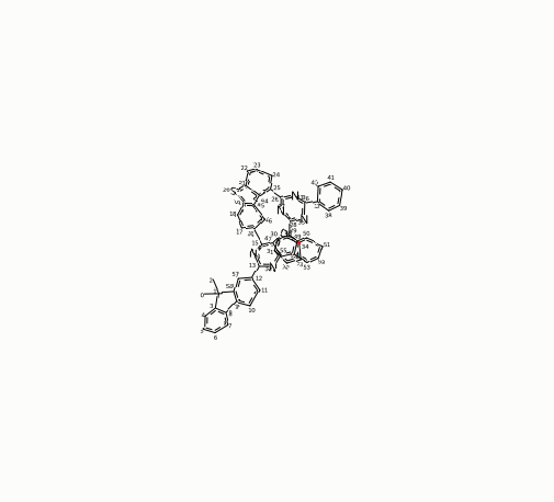 CC1(C)c2ccccc2-c2ccc(-c3nc(-c4ccc5sc6cccc(-c7nc(-c8ccccc8)nc(-c8ccccc8)n7)c6c5c4)c4oc5ccccc5c4n3)cc21